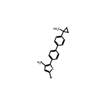 Nc1cc(Br)sc1-c1ccc(-c2ccc(C3(C(=O)O)CC3)cc2)cc1